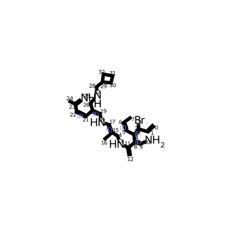 C=C/C(Br)=C(/C=C\C)C(=C/N)\C(=C)NC/C(C)=C/N/C=C(\C=C/C(C)=N)CNCC1CCC1